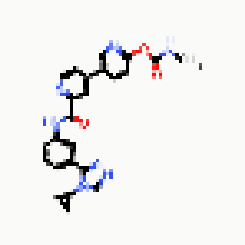 CNC(=O)Oc1ccc(-c2ccnc(C(=O)Nc3cccc(-c4nncn4C4CC4)c3)c2)cn1